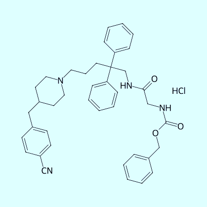 Cl.N#Cc1ccc(CC2CCN(CCCC(CNC(=O)CNC(=O)OCc3ccccc3)(c3ccccc3)c3ccccc3)CC2)cc1